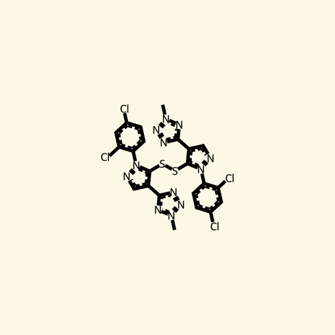 Cn1nnc(-c2cnn(-c3ccc(Cl)cc3Cl)c2SSc2c(-c3nnn(C)n3)cnn2-c2ccc(Cl)cc2Cl)n1